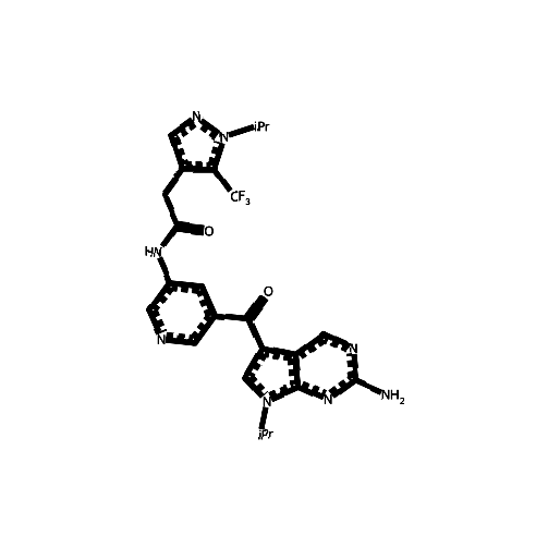 CC(C)n1ncc(CC(=O)Nc2cncc(C(=O)c3cn(C(C)C)c4nc(N)ncc34)c2)c1C(F)(F)F